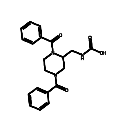 O=C(O)NCC1CN(C(=O)c2ccccc2)CCN1C(=O)c1ccccc1